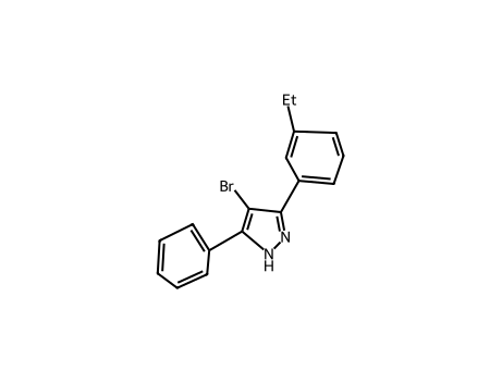 CCc1cccc(-c2n[nH]c(-c3ccccc3)c2Br)c1